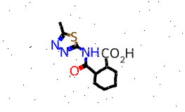 Cc1nnc(NC(=O)C2CCCCC2C(=O)O)s1